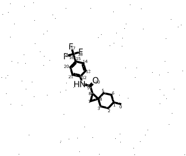 CC1CCC2(CC1)CC2C(=O)Nc1ccc(C(F)(F)F)cc1